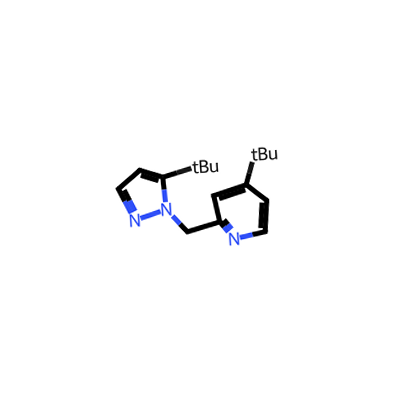 CC(C)(C)c1ccnc(Cn2nccc2C(C)(C)C)c1